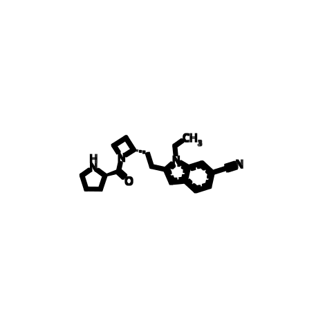 CCn1c(CC[C@H]2CCN2C(=O)[C@H]2CCCN2)cc2ccc(C#N)cc21